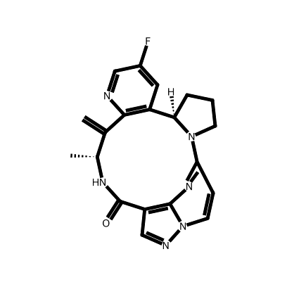 C=C1c2ncc(F)cc2[C@H]2CCCN2c2ccn3ncc(c3n2)C(=O)N[C@@H]1C